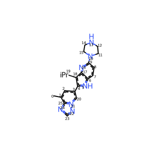 Cc1cc(-c2[nH]c3ccc(N4CCNCC4)nc3c2C(C)C)cn2ncnc12